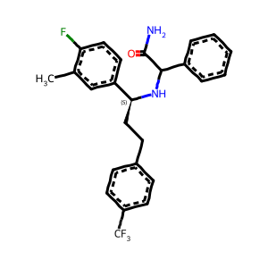 Cc1cc([C@H](CCc2ccc(C(F)(F)F)cc2)NC(C(N)=O)c2ccccc2)ccc1F